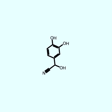 N#CC(O)c1ccc(O)c(O)c1